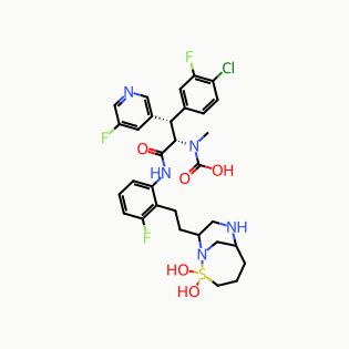 CN(C(=O)O)[C@H](C(=O)Nc1cccc(F)c1CCC1CNC2CCCS(O)(O)N1C2)[C@H](c1cncc(F)c1)c1ccc(Cl)c(F)c1